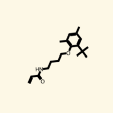 C=CC(=O)NCCCCOc1c(C)cc(C)cc1C(C)(C)C